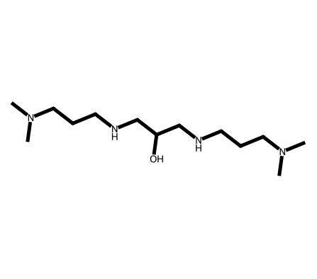 CN(C)CCCNCC(O)CNCCCN(C)C